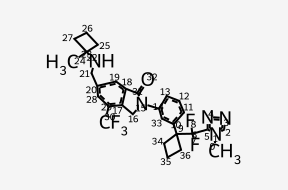 Cn1cnnc1C(F)(F)C1(c2cccc(N3Cc4c(cc(CNC5(C)CCC5)cc4C(F)(F)F)C3=O)c2)CCC1